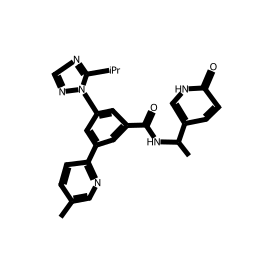 Cc1ccc(-c2cc(C(=O)NC(C)c3ccc(=O)[nH]c3)cc(-n3ncnc3C(C)C)c2)nc1